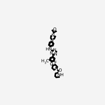 Cc1cc(-c2ncnc(Nc3ccc(N4CCN(C5COC5)CC4)cc3)n2)ccc1O[C@H]1CCN(C(=O)[C@H]2CCCCN2)C[C@H]1F